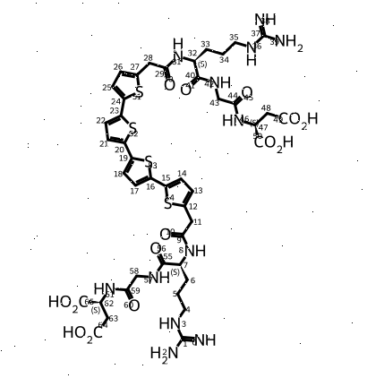 N=C(N)NCCC[C@H](NC(=O)Cc1ccc(-c2ccc(-c3ccc(-c4ccc(CC(=O)N[C@@H](CCCNC(=N)N)C(=O)NCC(=O)N[C@@H](CC(=O)O)C(=O)O)s4)s3)s2)s1)C(=O)NCC(=O)N[C@@H](CC(=O)O)C(=O)O